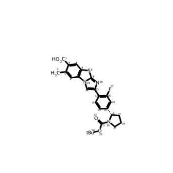 Cc1cc2c(cc1C(=O)O)sc1nc(-c3ccc([C@@H]4CCCN4C(=O)OC(C)(C)C)cc3F)cn12